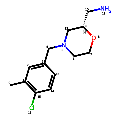 Cc1cc(CN2CCO[C@@H](CN)C2)ccc1Cl